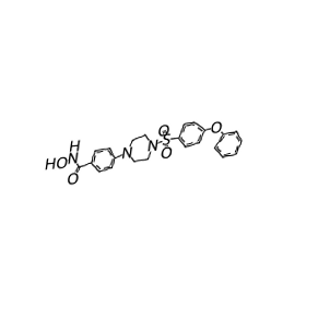 O=C(NO)c1ccc(N2CCN(S(=O)(=O)c3ccc(Oc4ccccc4)cc3)CC2)cc1